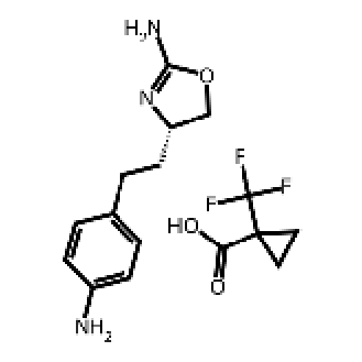 NC1=N[C@@H](CCc2ccc(N)cc2)CO1.O=C(O)C1(C(F)(F)F)CC1